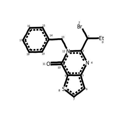 CCC(Br)c1nc2ccsc2c(=O)n1Cc1ccccc1